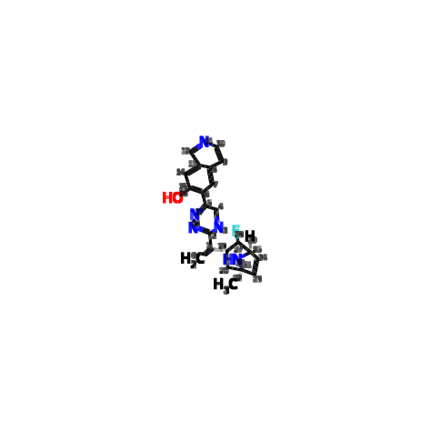 C=C(c1ncc(-c2cc3ccncc3cc2O)nn1)[C@H]1C[C@]2(C)C=C[C@@H](N2)[C@@H]1F